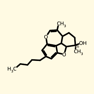 CCCCCc1cc2c3c(c1)OC1C3C(CC[C@]1(C)O)C(C)=CO2